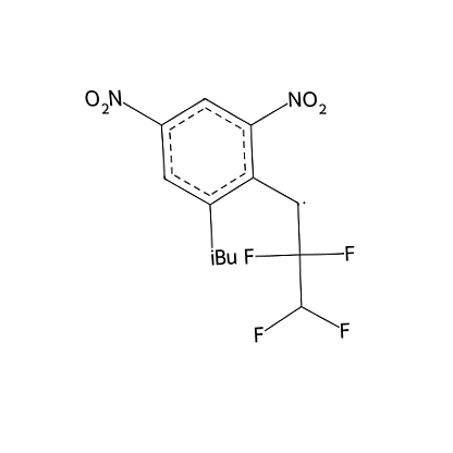 CCC(C)c1cc([N+](=O)[O-])cc([N+](=O)[O-])c1[CH]C(F)(F)C(F)F